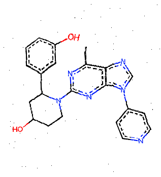 Cc1nc(N2CCC(O)CC2c2cccc(O)c2)nc2c1ncn2-c1ccncc1